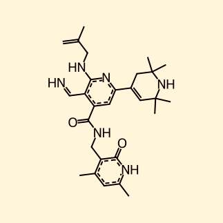 C=C(C)CNc1nc(C2=CC(C)(C)NC(C)(C)C2)cc(C(=O)NCc2c(C)cc(C)[nH]c2=O)c1C=N